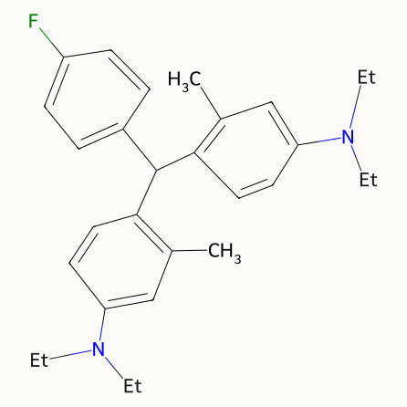 CCN(CC)c1ccc(C(c2ccc(F)cc2)c2ccc(N(CC)CC)cc2C)c(C)c1